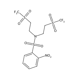 O=[N+]([O-])c1ccccc1S(=O)(=O)N(CCS(=O)(=O)C(F)(F)F)CCS(=O)(=O)C(F)(F)F